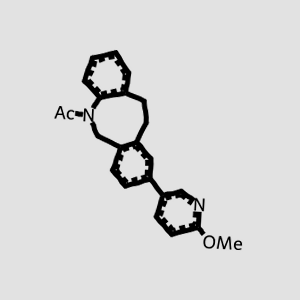 COc1ccc(-c2ccc3c(c2)CCc2ccccc2N(C(C)=O)C3)cn1